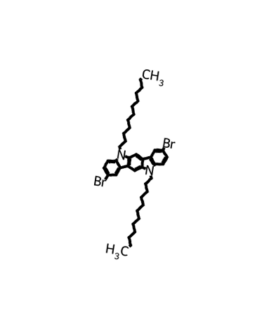 CCCCCCCCCCCCn1c2ccc(Br)cc2c2cc3c(cc21)c1cc(Br)ccc1n3CCCCCCCCCCCC